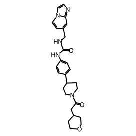 O=C(NCc1ccn2ccnc2c1)Nc1ccc(C2CCN(C(=O)CC3CCOCC3)CC2)cc1